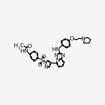 CC(=O)Nc1ccc(S(=O)(=O)n2cc(-c3cccc4nc(Nc5ccc(OCCN6CCCC6)cc5)nn34)cn2)cc1